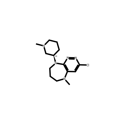 CN1CCC[C@@H](N2CCCN(C)c3cc(Cl)nnc32)C1